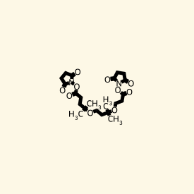 CC(C)(CCOC(C)(C)CCC(=O)ON1C(=O)CCC1=O)OCCC(=O)ON1C(=O)CCC1=O